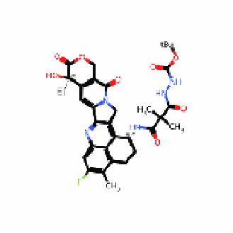 CC[C@]1(O)C(=O)OCc2c1cc1n(c2=O)Cc2c-1nc1cc(F)c(C)c3c1c2[C@H](NC(=O)C(C)(C)C(=O)NNC(=O)OC(C)(C)C)CC3